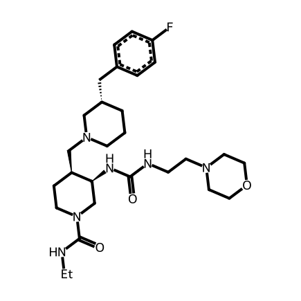 CCNC(=O)N1CC[C@@H](CN2CCC[C@@H](Cc3ccc(F)cc3)C2)[C@@H](NC(=O)NCCN2CCOCC2)C1